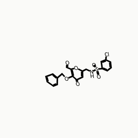 O=Cc1oc(CNS(=O)(=O)c2cccc(Cl)c2)cc(=O)c1OCc1ccccc1